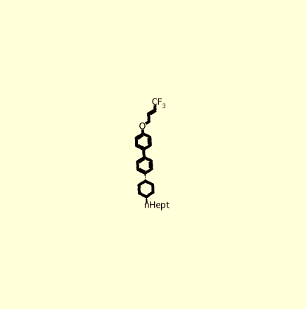 CCCCCCC[C@H]1CC[C@H](c2ccc(-c3ccc(OCC=CC(F)(F)F)cc3)cc2)CC1